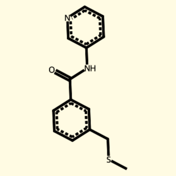 CSCc1cccc(C(=O)Nc2cccnc2)c1